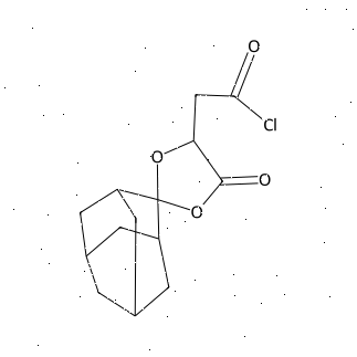 O=C(Cl)CC1OC2(OC1=O)C1CC3CC(C1)CC2C3